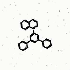 [c]1ccccc1-c1cc(-c2ccccc2)cc(-c2cccc3ccccc23)c1